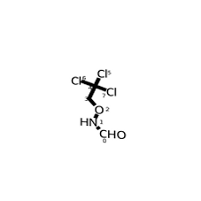 O=CNOCC(Cl)(Cl)Cl